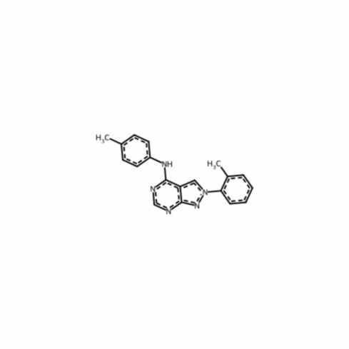 Cc1ccc(Nc2ncnc3nn(-c4ccccc4C)cc23)cc1